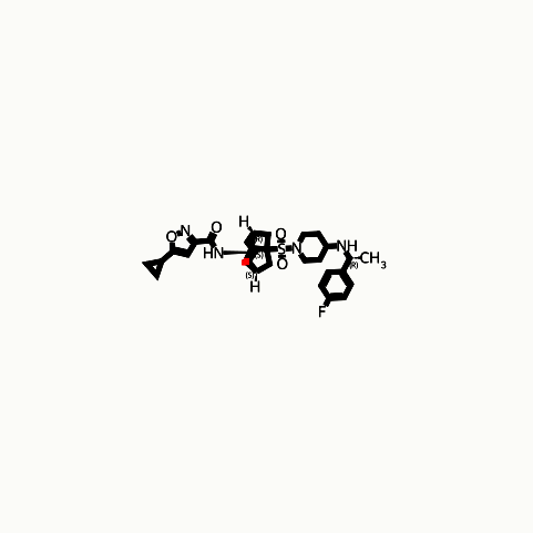 C[C@@H](NC1CCN(S(=O)(=O)C23C[C@H]4CC2[C@H](C[C@@H](NC(=O)c2cc(C5CC5)on2)C4)C3)CC1)c1ccc(F)cc1